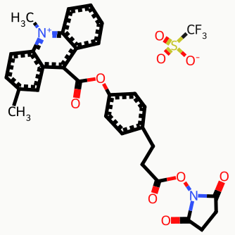 Cc1ccc2c(c1)c(C(=O)Oc1ccc(CCC(=O)ON3C(=O)CCC3=O)cc1)c1ccccc1[n+]2C.O=S(=O)([O-])C(F)(F)F